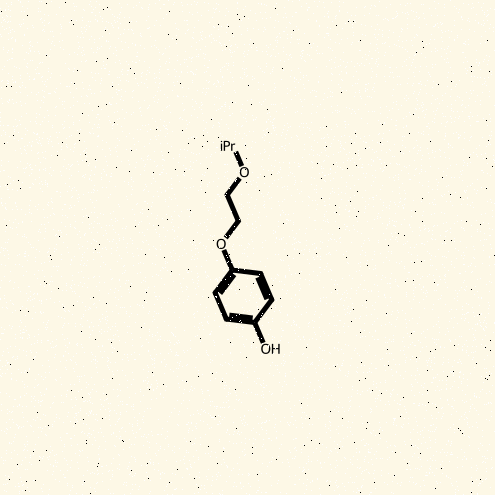 CC(C)OCCOc1ccc(O)cc1